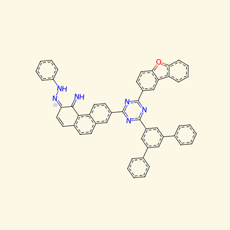 N=C1/C(=N\Nc2ccccc2)C=Cc2ccc3cc(-c4nc(-c5cc(-c6ccccc6)cc(-c6ccccc6)c5)nc(-c5ccc6oc7ccccc7c6c5)n4)ccc3c21